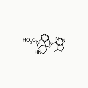 CC1CCc2ncnc(N3CC4(CCNCC4)c4c(N(C)C(=O)O)cccc43)c21